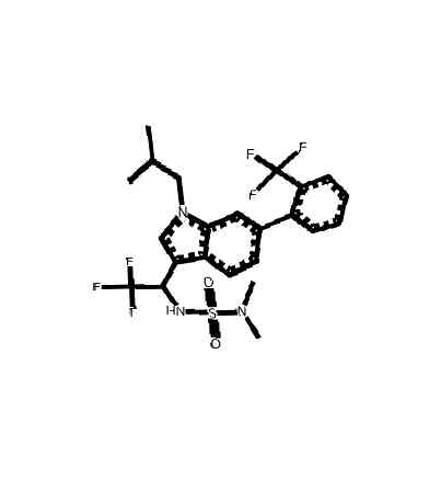 CC(C)Cn1cc(C(NS(=O)(=O)N(C)C)C(F)(F)F)c2ccc(-c3ccccc3C(F)(F)F)cc21